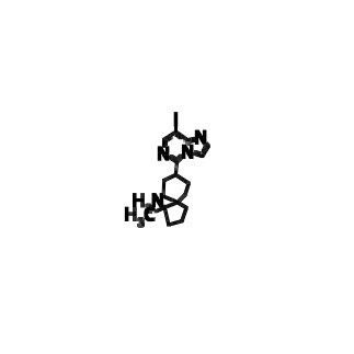 CC1(N)CCCC12CCC(c1ncc(I)c3nccn13)CC2